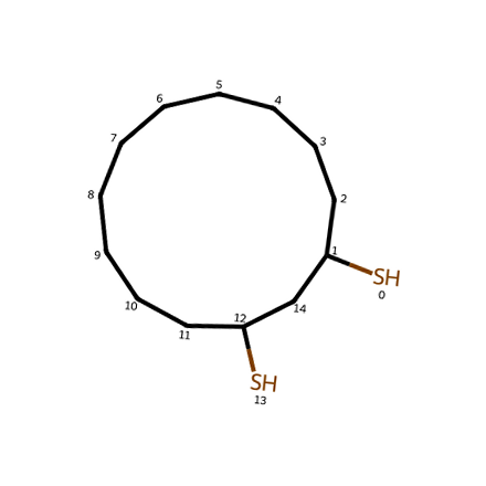 SC1CCCCCCCCCCC(S)C1